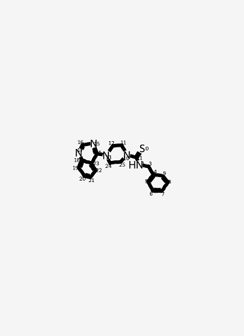 S=C(NCc1ccccc1)N1CCN(c2ncnc3ccccc23)CC1